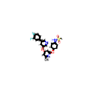 CS(=O)(=O)NC1CCC(Oc2cc(Oc3cncc(-c4ccc(F)c(F)c4)c3)cc(C#N)n2)CC1